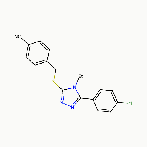 CCn1c(SCc2ccc(C#N)cc2)nnc1-c1ccc(Cl)cc1